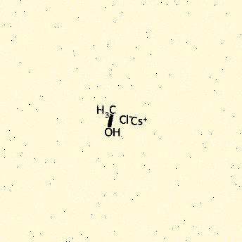 CO.[Cl-].[Cs+]